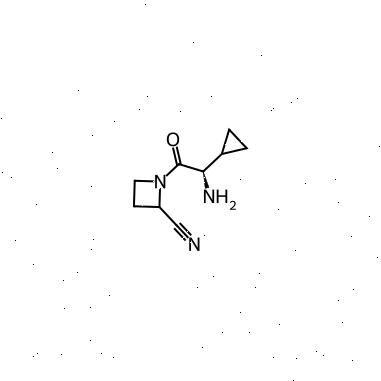 N#CC1CCN1C(=O)[C@H](N)C1CC1